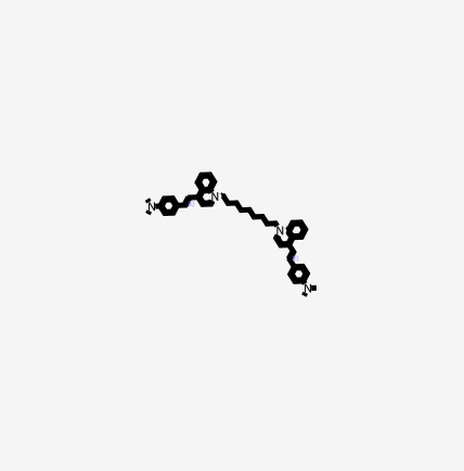 CN(C)c1ccc(/C=C/c2cc[n+](CCCCCCCCC[n+]3ccc(/C=C/c4ccc(N(C)C)cc4)c4ccccc43)c3ccccc23)cc1